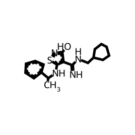 CC(Nc1snc(O)c1C(=N)NCC1CCCCC1)c1ccccc1